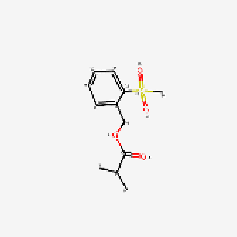 CC(C)C(=O)OCc1ccccc1S(C)(=O)=O